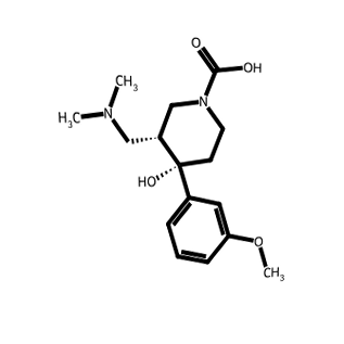 COc1cccc([C@]2(O)CCN(C(=O)O)C[C@H]2CN(C)C)c1